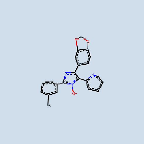 N#Cc1cccc(-c2nc(-c3ccc4c(c3)OCO4)c(-c3ccccn3)n2O)c1